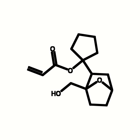 C=CC(=O)OC1(C2CC3CCC2(CO)O3)CCCC1